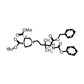 COC(=O)[C@@H]1CN(CCC(C)(C)[C@H](NC(=O)Oc2ccccc2)C(=O)OCc2ccccc2)CCN1C(=O)OC(C)(C)C